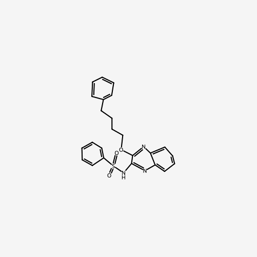 O=S(=O)(Nc1nc2ccccc2nc1OCCCCc1ccccc1)c1ccccc1